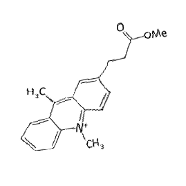 COC(=O)CCc1ccc2c(c1)c(C)c1ccccc1[n+]2C